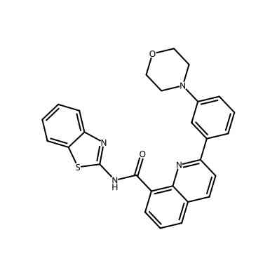 O=C(Nc1nc2ccccc2s1)c1cccc2ccc(-c3cccc(N4CCOCC4)c3)nc12